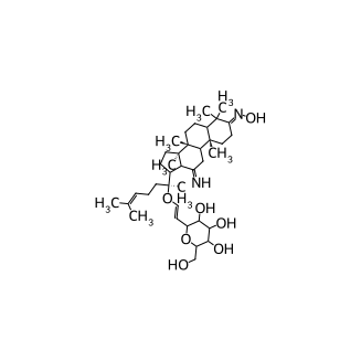 CC(C)=CCC[C@](C)(OC=CC1OC(CO)C(O)C(O)C1O)C1CC[C@]2(C)C1C(=N)CC1[C@@]3(C)CC/C(=N\O)C(C)(C)C3CC[C@]12C